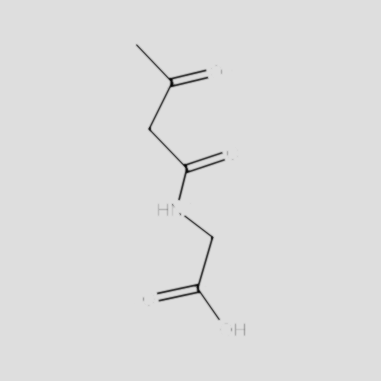 CC(=O)CC(=O)NCC(=O)O